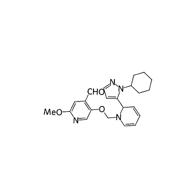 COc1cc(C=O)c(OCN2C=CC=CC2c2ccnn2C2CCCCC2)cn1